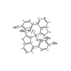 CCCCC1=C([Si](C)(C)C2=C(CCCC)[CH]c3cccc(-c4ccc(CCC)cc4)c32)c2c(cccc2-c2ccc(CCC)cc2)[CH]1